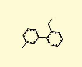 OCc1cccnc1-c1cccc(Br)c1